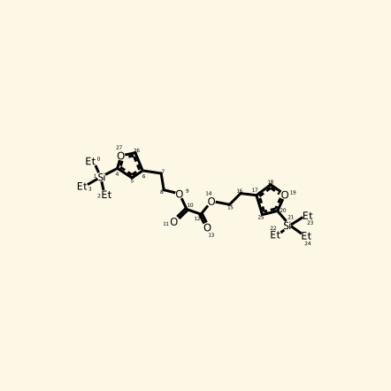 CC[Si](CC)(CC)c1cc(CCOC(=O)C(=O)OCCc2coc([Si](CC)(CC)CC)c2)co1